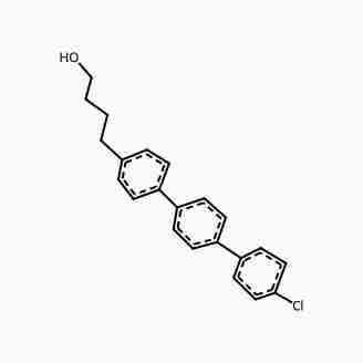 OCCCCc1ccc(-c2ccc(-c3ccc(Cl)cc3)cc2)cc1